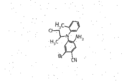 Cc1ccccc1N(c1cc(Br)c(C#N)cc1N)C(C)CCl